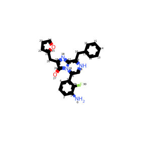 Nc1cccc(-c2c[nH]c(Cc3ccccc3)c3nc(Cc4ccco4)c(=O)n2-3)c1F